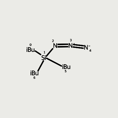 CCC(C)[Si](N=[N+]=[N-])(C(C)CC)C(C)CC